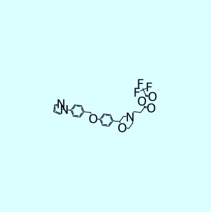 O=C(CCN1CCOC(c2ccc(OCc3ccc(-n4cccn4)cc3)cc2)C1)OC(=O)C(F)(F)F